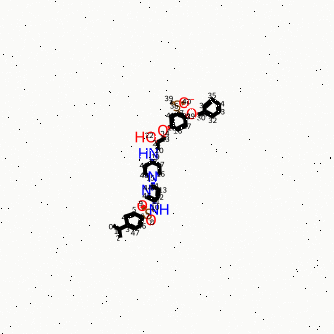 CC(C)c1ccc(S(=O)(=O)Nc2ccc(N3CCC(NCC(O)COc4ccc(OCc5ccccc5)c([S+](C)[O-])c4)CC3)nc2)cc1